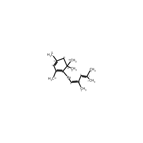 CC(C)=CC(C)=[CH][Ru][C]1=C(C)C=C(C)CC1(C)C